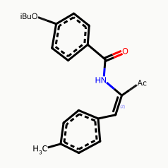 CC(=O)/C(=C/c1ccc(C)cc1)NC(=O)c1ccc(OCC(C)C)cc1